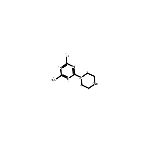 Cc1nc(C(C)C)nc(N2CCNCC2)n1